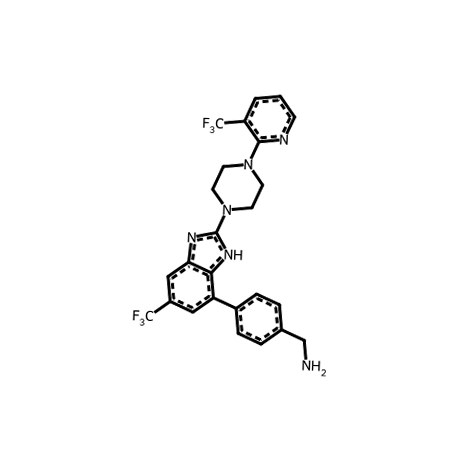 NCc1ccc(-c2cc(C(F)(F)F)cc3nc(N4CCN(c5ncccc5C(F)(F)F)CC4)[nH]c23)cc1